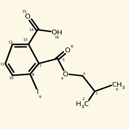 CC(C)COC(=O)c1c(I)cccc1C(=O)O